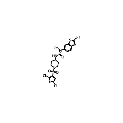 CC(C)N(C(=O)NC1CCN(S(=O)(=O)c2cc(Cl)sc2Cl)CC1)c1ccc2nc(S)sc2c1